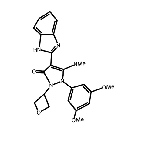 CNc1c(-c2nc3ccccc3[nH]2)c(=O)n(C2COC2)n1-c1cc(OC)cc(OC)c1